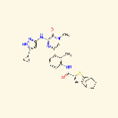 Cc1c(NC(=O)c2cc3c(s2)C2CCC3C2)cccc1-c1cn(C)c(=O)c(Nc2cc(C3CC3)[nH]n2)n1